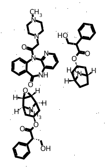 CN1CCN(CC(=O)N2c3ccccc3C(=O)Nc3cccnc32)CC1.CN1[C@@H]2CC[C@H]1C[C@@H](OC(=O)C(CO)c1ccccc1)C2.CN1[C@@H]2C[C@@H](OC(=O)[C@H](CO)c3ccccc3)C[C@H]1[C@@H]1O[C@@H]12